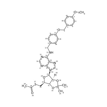 COc1ccc(COc2ccc(CNc3ncnc4c3ncn4[C@@H]3O[C@H](CSC(C)=O)C4OC(C)(C)O[C@@H]43)cc2)cc1